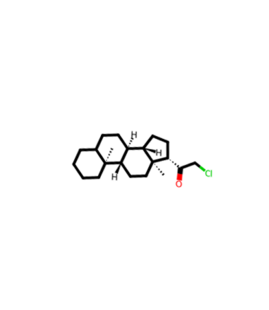 C[C@]12CC[C@H]3[C@@H](CCC4CCCC[C@@]43C)[C@@H]1CC[C@@H]2C(=O)CCl